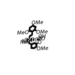 COc1cc(OC)c(/C=C/S(=O)(=O)Cc2ccc(OC)c(OP(=O)(O)O)c2)c(OC)c1.[NaH].[NaH]